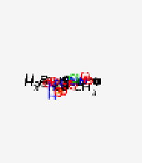 CC(C)(C)OC(=O)N[C@H]1CS(=O)(=O)c2ccc(-c3nnc(C4(C)CCN(C(=O)OCc5ccccc5)CC4)o3)cc2N(Cc2ccc(Cl)cc2)C1=O